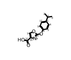 CC(C)c1ccc(Oc2nc(C(=O)O)co2)cc1